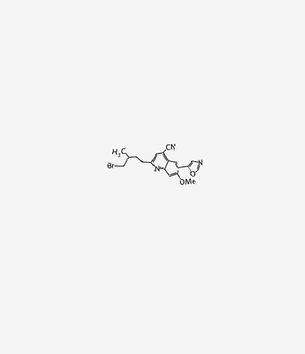 COc1cc2nc(CCC(C)CBr)cc(C#N)c2cc1-c1cnco1